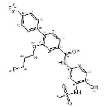 CS(=O)(=O)Nc1cc(NC(=O)c2ccc(-c3ccc(C(F)(F)F)cc3)c(OCCCF)c2)ccc1O